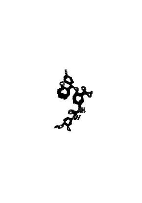 COC(=O)c1cc(NC(=O)Nc2ccc(OC)c(OC)c2)ccc1OC(c1ccc(F)cc1)c1ccccc1Cl